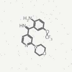 N=C(c1ccnc(N2CCOCC2)c1)c1cc(OC(F)(F)F)ccc1N